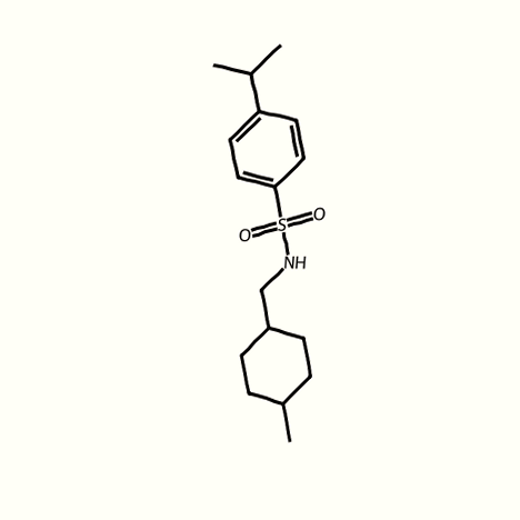 CC1CCC(CNS(=O)(=O)c2ccc(C(C)C)cc2)CC1